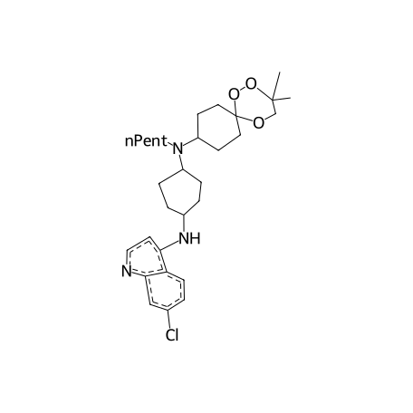 CCCCCN(C1CCC(Nc2ccnc3cc(Cl)ccc23)CC1)C1CCC2(CC1)OCC(C)(C)OO2